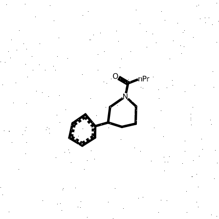 CCCC(=O)N1CCCC(c2ccccc2)C1